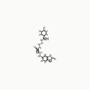 Cc1ccc(NCCCCN(C)OCCc2ccc3c(c2)CC(C)O3)cc1